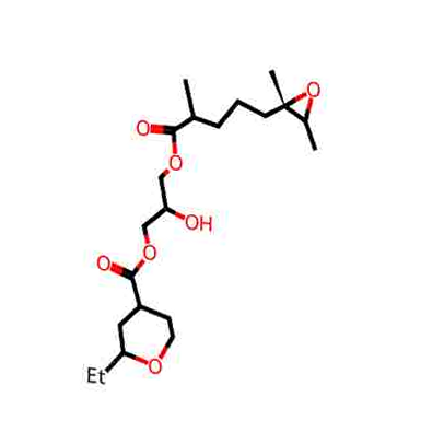 CCC1CC(C(=O)OCC(O)COC(=O)C(C)CCC[C@]2(C)OC2C)CCO1